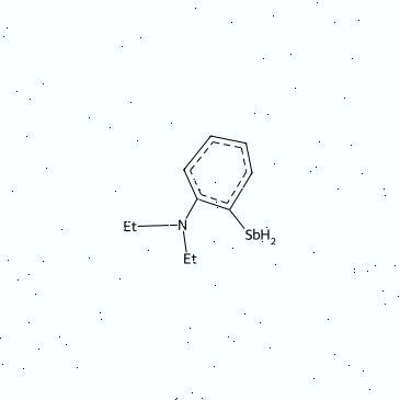 CCN(CC)c1cccc[c]1[SbH2]